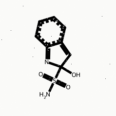 NS(=O)(=O)C1(O)C=c2ccccc2=N1